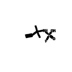 C#CC(C)(C)NP(=O)(O)F